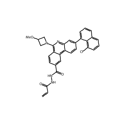 C=CC(=O)NNC(=O)c1ccc2c(N3CC(OC)C3)nc3cc(-c4cccc5cccc(Cl)c45)ccc3c2c1